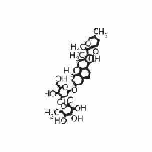 CC1CCC2(OC1)OC1CC3C4CC=C5CC(OC6OC(CO)C(O)C(O)C6OC6OC(C)C(O)C(O)C6O)CCC5(C)C4CCC3(C)C1(O)C2C